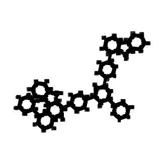 c1ccc(-c2cc(-c3ccc(-c4cccc5c4oc4ccccc45)cc3)nc(-c3ccc(-c4nc5cccc(-c6ccccc6)c5c5c4oc4ccccc45)cc3)n2)cc1